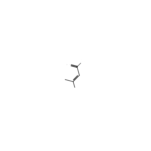 CC/C(C)=C/C([O])=O